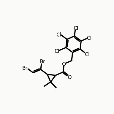 CC1(C)C(C(=O)OCc2c(Cl)c(Cl)c(Cl)c(Cl)c2Cl)C1/C(Br)=C/Br